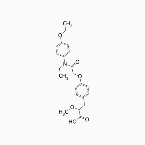 CCOc1ccc(N(CC)C(=O)COc2ccc(CC(OC)C(=O)O)cc2)cc1